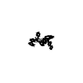 c1ccc(-c2ccc(-n3c4ccccc4c4cc5oc6c(-c7nc(-c8ccccc8)nc(-c8cccc(-c9ccccc9)c8)n7)cccc6c5cc43)cc2)cc1